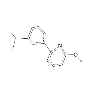 COc1cccc(-c2cccc(C(C)C)c2)n1